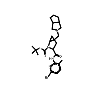 Cc1ccc(Br)nc1NC(=O)C1CC2(CN3CC4CCCC4C3)CC2N1C(=O)OC(C)(C)C